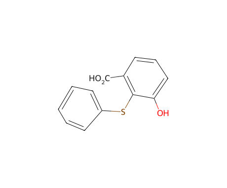 O=C(O)c1cccc(O)c1Sc1ccccc1